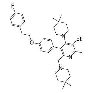 CCc1c(C)nc(CN2CCC(C)(C)CC2)c(-c2ccc(OCCc3ccc(F)cc3)cc2)c1N1CCC(C)(C)CC1